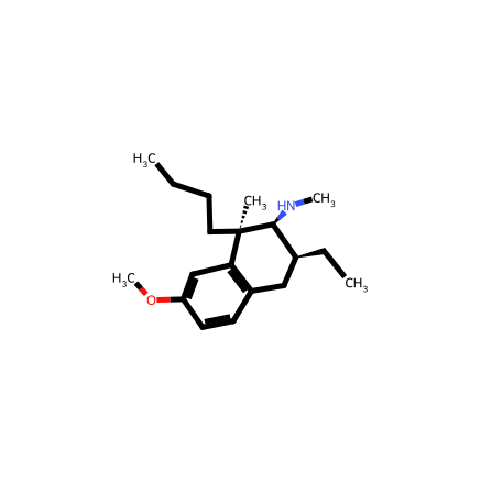 CCCC[C@]1(C)c2cc(OC)ccc2C[C@H](CC)[C@@H]1NC